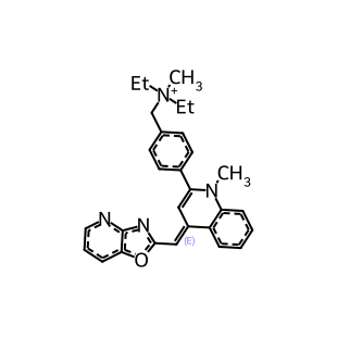 CC[N+](C)(CC)Cc1ccc(C2=C/C(=C\c3nc4ncccc4o3)c3ccccc3N2C)cc1